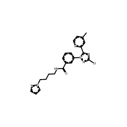 CCc1nc(-c2cc(C)ccn2)n(-c2cccc(C(=O)NCCCCn3cccn3)c2)n1